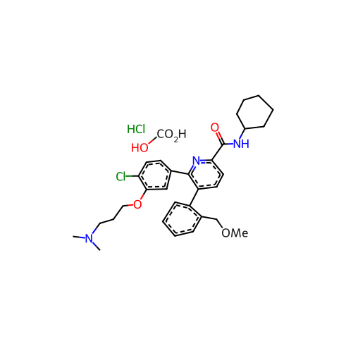 COCc1ccccc1-c1ccc(C(=O)NC2CCCCC2)nc1-c1ccc(Cl)c(OCCCN(C)C)c1.Cl.O=C(O)O